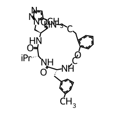 Cc1cccc(C[C@H]2NCCOc3ccccc3CCCNC(=O)[C@H](Cn3nncc3C)NC(=O)[C@@H](C(C)C)NC2=O)c1